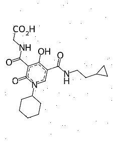 O=C(O)CNC(=O)c1c(O)c(C(=O)NCCC2CC2)cn(C2CCCCC2)c1=O